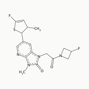 CC1C=C(F)SC1c1cnc2c(c1)n(CC(=O)N1CC(F)C1)c(=O)n2C